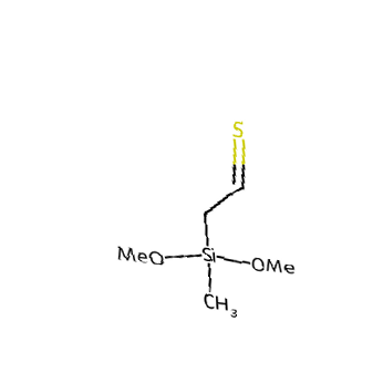 CO[Si](C)(CC=S)OC